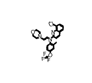 Cc1cc(OC(F)(F)F)ccc1N(CCN1CCOCC1)c1ccc2cccc(Cl)c2n1